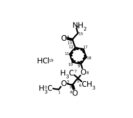 CCOC(=O)C(C)(C)Oc1ccc(C(=O)CN)cc1.Cl